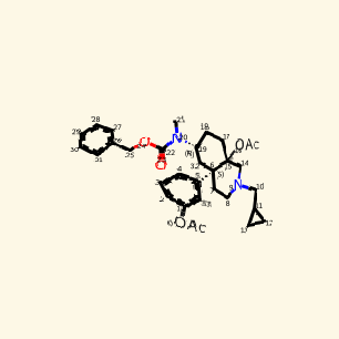 CC(=O)Oc1cccc([C@@]23CCN(CC4CC4)C[C@@]2(OC(C)=O)CC[C@@H](N(C)C(=O)OCc2ccccc2)C3)c1